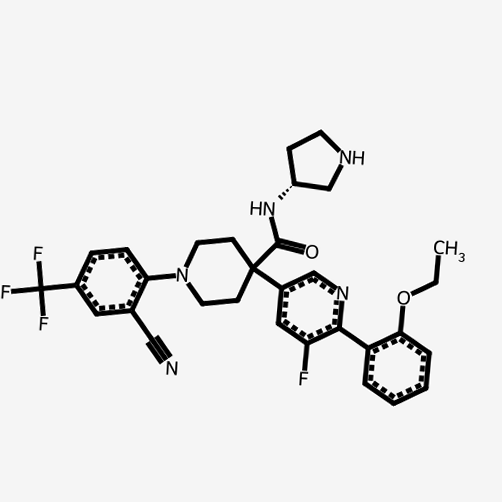 CCOc1ccccc1-c1ncc(C2(C(=O)N[C@@H]3CCNC3)CCN(c3ccc(C(F)(F)F)cc3C#N)CC2)cc1F